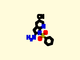 N#Cc1cnc2c(c1)cc(N)n2S(=O)(=O)c1ccccc1